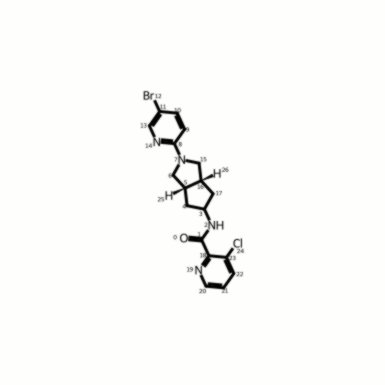 O=C(NC1C[C@@H]2CN(c3ccc(Br)cn3)C[C@@H]2C1)c1ncccc1Cl